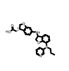 CCCN(c1cccnc1)c1cccc2c1OCC2Nc1ccc2c(c1)OC[C@H]2CC(=O)O